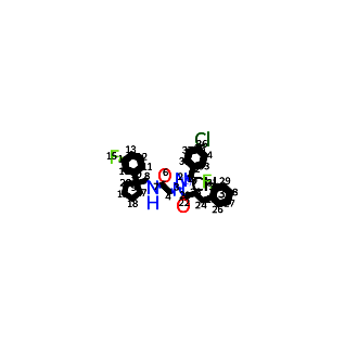 C/C(=N\N(CC(=O)NCC1(c2cccc(F)c2)CCCC1)C(=O)CCc1ccccc1F)c1ccc(Cl)cc1